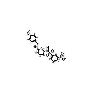 COc1ccc(CNc2nccc(NS(=O)(=O)c3cccc([N+](=O)[O-])c3)n2)cc1